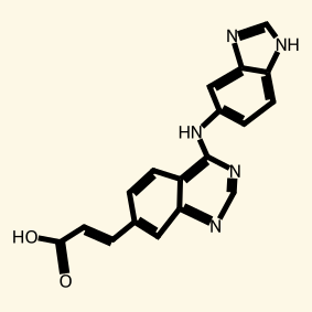 O=C(O)C=Cc1ccc2c(Nc3ccc4[nH]cnc4c3)ncnc2c1